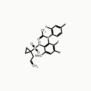 C=CCC1(S(=O)(=O)Nc2c(OC)cc(F)c(F)c2N(C(=O)C(F)(F)F)c2ccc(I)cc2F)CC1